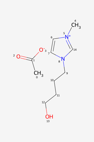 CC(=O)[O-].C[n+]1ccn(CCCCO)c1